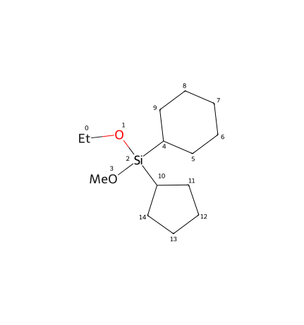 CCO[Si](OC)(C1CCCCC1)C1CCCC1